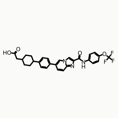 O=C(O)CC1CCC(c2ccc(-c3ccc4nc(C(=O)Nc5ccc(OC(F)(F)F)cc5)cn4c3)cc2)CC1